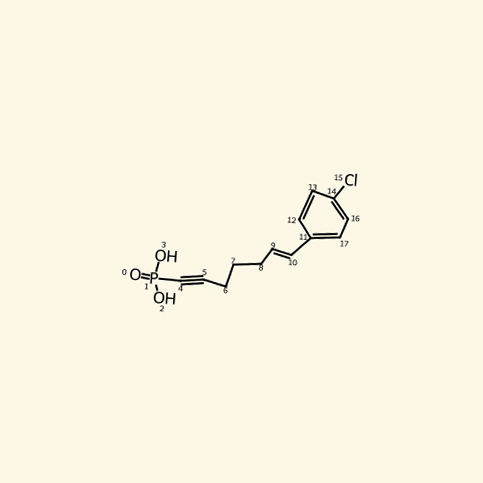 O=P(O)(O)C#CCCC/C=C/c1ccc(Cl)cc1